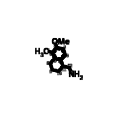 COc1ccc2c(c1C)CCCC2CN